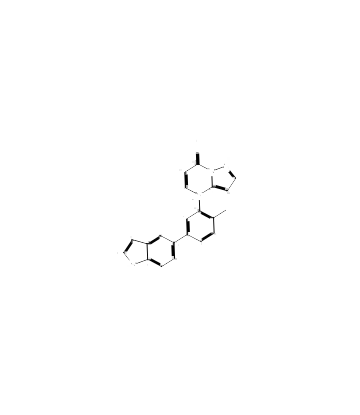 Cc1ccc(-c2ccc3[nH]ccc3c2)cc1-n1ccc(=O)n2nccc12